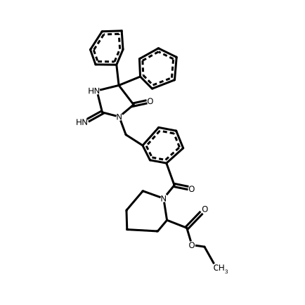 CCOC(=O)C1CCCCN1C(=O)c1cccc(CN2C(=N)NC(c3ccccc3)(c3ccccc3)C2=O)c1